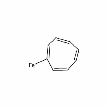 [Fe][C]1=CC=CC=CC=C1